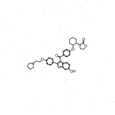 O=C(c1ccc(OC2CCCCC2N2CCOC2=O)cc1)c1c(-c2ccc(OCCN3CCCC3)cc2)sc2cc(O)ccc12